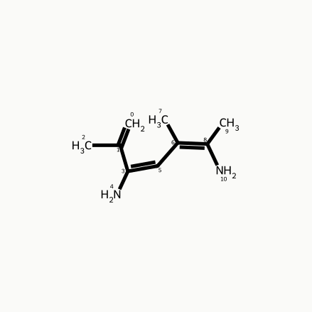 C=C(C)/C(N)=C\C(C)=C(\C)N